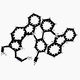 C=Cc1c(/C=C\C)oc2c1ccc1c3ccccc3n(-c3cc(C#N)ccc3-c3ccccc3-n3c4ccccc4c4ccccc43)c12